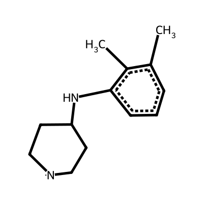 Cc1cccc(NC2CC[N]CC2)c1C